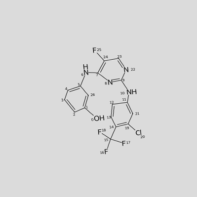 Oc1cccc(Nc2nc(Nc3ccc(C(F)(F)F)c(Cl)c3)ncc2F)c1